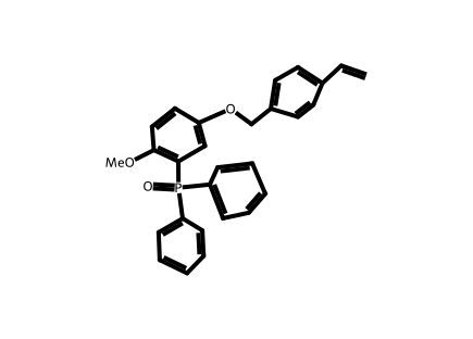 C=Cc1ccc(COc2ccc(OC)c(P(=O)(c3ccccc3)c3ccccc3)c2)cc1